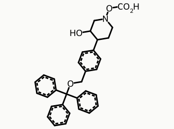 O=C(O)ON1CCC(c2ccc(COC(c3ccccc3)(c3ccccc3)c3ccccc3)cc2)C(O)C1